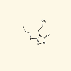 C=CCn1c(SCCF)n[nH]c1=O